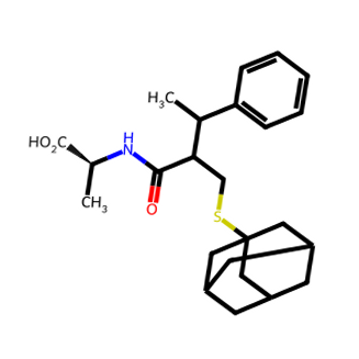 CC(c1ccccc1)C(CSC12CC3CC(CC(C3)C1)C2)C(=O)N[C@@H](C)C(=O)O